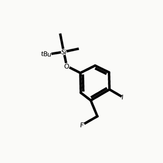 CC(C)(C)[Si](C)(C)Oc1ccc(I)c(CF)c1